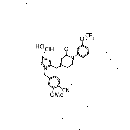 COc1cc(Cn2cncc2CN2CCN(c3cccc(OC(F)(F)F)c3)C(=O)C2)ccc1C#N.Cl.Cl